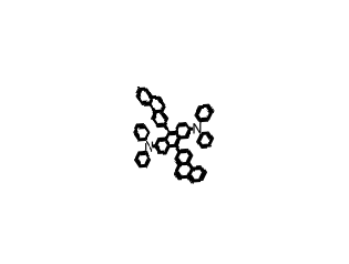 C1=CCC(N(c2ccccc2)c2ccc3c(-c4ccc5c(ccc6ccccc65)c4)c4cc(N(c5ccccc5)c5ccccc5)ccc4c(-c4ccc5c(ccc6ccccc65)c4)c3c2)C=C1